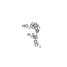 Cc1nc(-c2ccc(C(F)(F)F)cc2)sc1CCn1ccc2ccc(OC(C)(C)C(=O)O)cc21